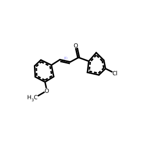 COc1cccc(/C=C/C(=O)c2ccc(Cl)cc2)c1